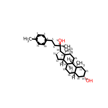 Cc1ccc(CC[C@](C)(O)[C@H]2CC[C@H]3[C@@H]4CC[C@H]5C[C@@H](O)CC[C@]5(C)[C@H]4CC[C@@]32C)cc1